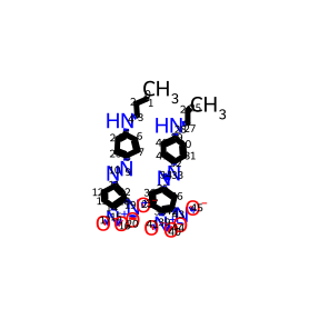 CCCCNc1ccc(/N=N/c2ccc([N+](=O)[O-])c([N+](=O)[O-])c2)cc1.CCCNc1ccc(/N=N/c2ccc([N+](=O)[O-])c([N+](=O)[O-])c2)cc1